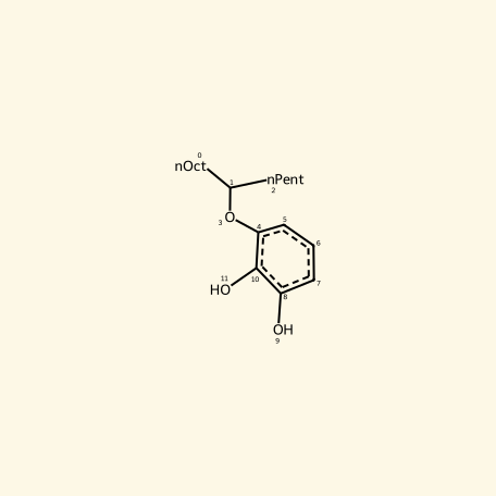 CCCCCCCCC(CCCCC)Oc1cccc(O)c1O